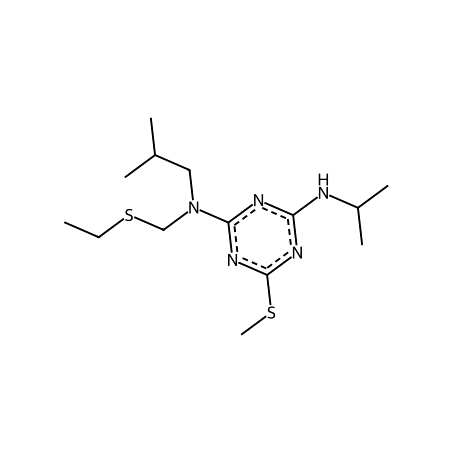 CCSCN(CC(C)C)c1nc(NC(C)C)nc(SC)n1